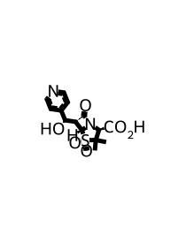 CC1(C)[C@H](C(=O)O)N2C(=O)[C@@H]([C@H](O)c3ccncc3)[C@H]2S1(=O)=O